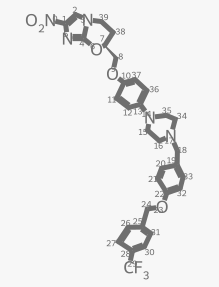 O=[N+]([O-])c1cn2c(n1)O[C@H](COc1ccc(N3CCN(Cc4ccc(OCc5ccc(C(F)(F)F)cc5)cc4)CC3)cc1)CC2